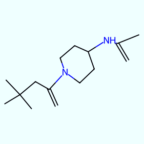 C=C(C)NC1CCN(C(=C)CC(C)(C)C)CC1